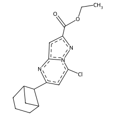 CCOC(=O)c1cc2nc(C3C4CCCC3C4)cc(Cl)n2n1